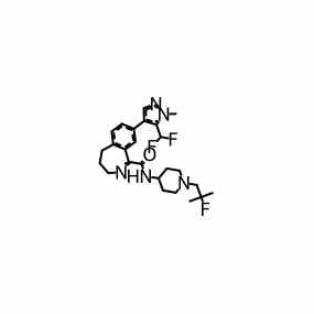 Cn1ncc(-c2ccc3c(c2)C(C(=O)NC2CCN(CC(C)(C)F)CC2)=NCCC3)c1C(F)F